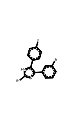 CC(C)c1nc(-c2cccc(Br)c2)c(-c2ccc(F)cc2)[nH]1